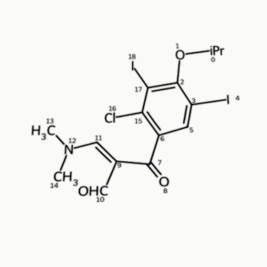 CC(C)Oc1c(I)cc(C(=O)C(C=O)=CN(C)C)c(Cl)c1I